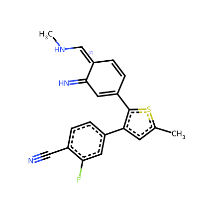 CN/C=C1/C=CC(c2sc(C)cc2-c2ccc(C#N)c(F)c2)=CC1=N